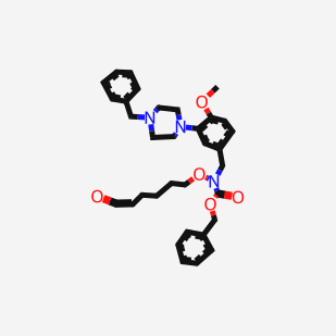 COc1ccc(CN(OCCCCC=C=O)C(=O)OCc2ccccc2)cc1N1CCN(Cc2ccccc2)CC1